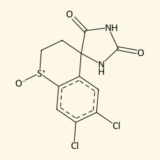 O=C1NC(=O)C2(CC[S+]([O-])c3cc(Cl)c(Cl)cc32)N1